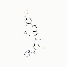 COc1cc(C(=O)N2CC3CCC2[C@@H]3C)cc2nc(-c3cc4ccc(-c5ccc(CS(C)(=O)=O)cc5Cl)nc4n3CC3CC3)n(C)c12